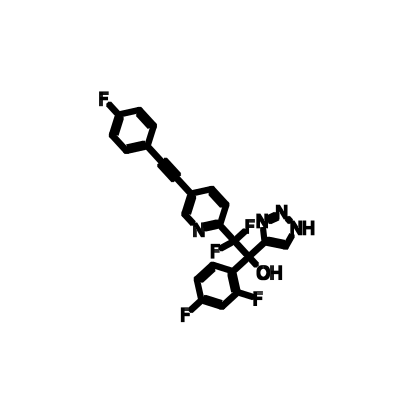 OC(c1c[nH]nn1)(c1ccc(F)cc1F)C(F)(F)c1ccc(C#Cc2ccc(F)cc2)cn1